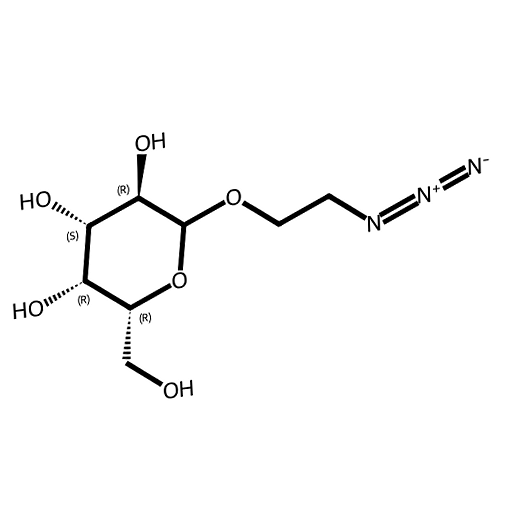 [N-]=[N+]=NCCOC1O[C@H](CO)[C@H](O)[C@H](O)[C@H]1O